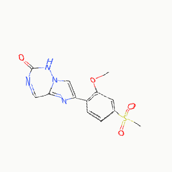 COc1cc(S(C)(=O)=O)ccc1-c1cn2[nH]c(=O)ncc2n1